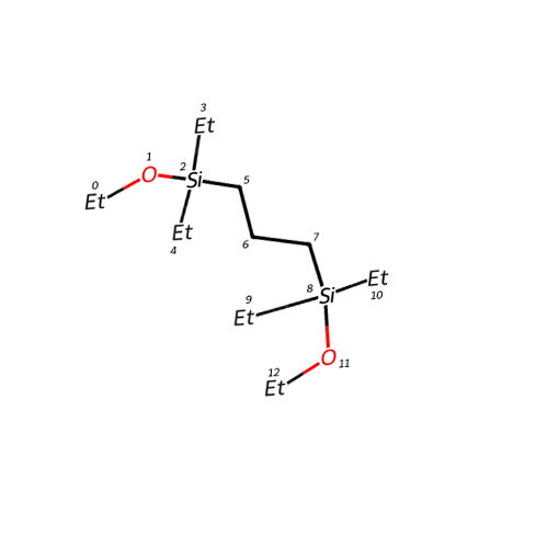 CCO[Si](CC)(CC)CCC[Si](CC)(CC)OCC